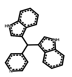 c1ccc2c(C(c3ccncc3)c3c[nH]c4ccccc34)c[nH]c2c1